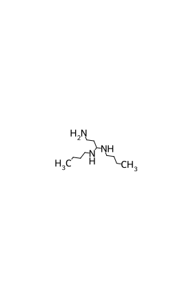 CCCCNC(CCN)NCCCC